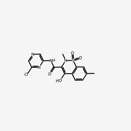 Cc1ccc2c(c1)S(=O)(=O)N(C)C(C(=O)Nc1cncc(Cl)n1)=C2O